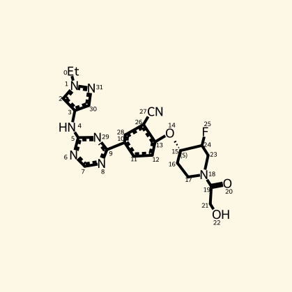 CCn1cc(Nc2ncnc(-c3ccc(O[C@H]4CCN(C(=O)CO)CC4F)c(C#N)c3)n2)cn1